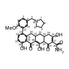 COc1ccc(CN2CCCC2)cc1-c1ccc(O)c2c1CC1CC3CC(O)=C(C(N)=O)C(=O)C3C(O)=C1C2=O